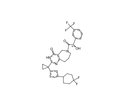 O=C([C@H](O)c1cccc(C(F)(F)F)c1)N1CCCc2nc(C3(c4cc(C5CCC(F)(F)CC5)cs4)CC3)[nH]c(=O)c2C1